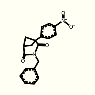 O=C1C2CC(c3ccc([N+](=O)[O-])cc3)(C2)C(=O)N1Cc1ccccc1